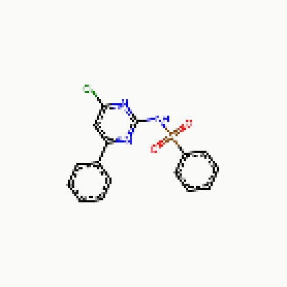 O=S(=O)(Nc1nc(Cl)cc(-c2ccccc2)n1)c1ccccc1